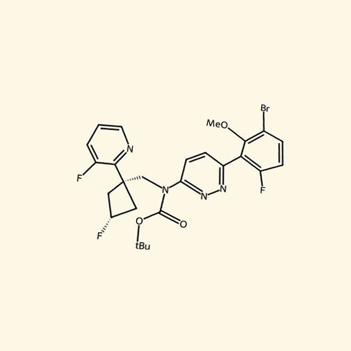 COc1c(Br)ccc(F)c1-c1ccc(N(C[C@]2(c3ncccc3F)C[C@H](F)C2)C(=O)OC(C)(C)C)nn1